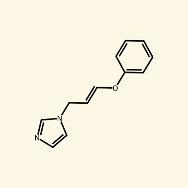 C(=COc1ccccc1)Cn1ccnc1